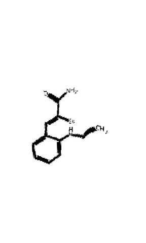 C=CNc1ccccc1/C=C(\CC)C(N)=O